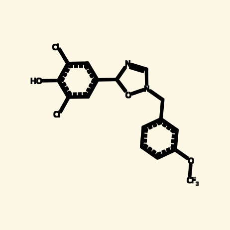 Oc1c(Cl)cc(C2N=CN(Cc3cccc(OC(F)(F)F)c3)O2)cc1Cl